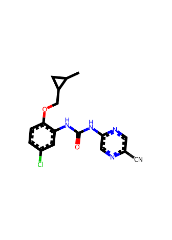 CC1CC1COc1ccc(Cl)cc1NC(=O)Nc1cnc(C#N)cn1